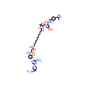 Cc1ncsc1-c1ccc([C@@H](C)NC(=O)[C@H]2C[C@H](O)CN2C(=O)[C@H](NC(=O)CCCCCCCCCCCNC(=O)CC(=O)Nc2cccc(Sc3ncc(N4CCC(C)(CN)CC4)nc3N)c2Cl)C(C)(C)C)cc1